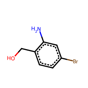 Nc1cc(Br)ccc1CO